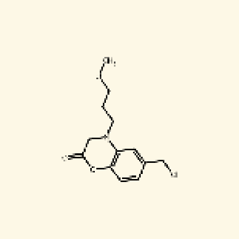 COCCCN1CC(=O)Oc2ccc(CCl)cc21